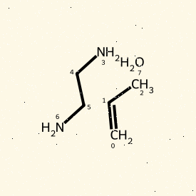 C=CC.NCCN.O